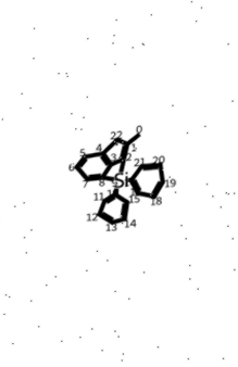 CC1=C2c3c(cccc3[Si]2(c2ccccc2)c2ccccc2)[CH]1